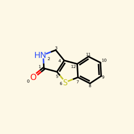 O=C1NCc2c1sc1ccccc21